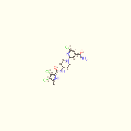 Cc1[nH]c(C(=O)NC2CCN(c3cc(C(N)=O)cc(Cl)n3)CC2)c(Cl)c1Cl